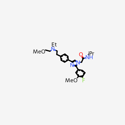 CCN(CCOC)CCc1ccc(-c2cn(CC(=O)NC(C)C)c(-c3ccc(F)c(OC)c3)n2)cc1